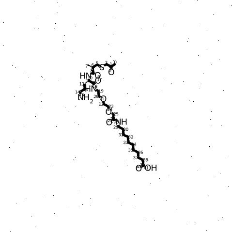 CC(=O)CSC[C@H](C)C(=O)N[C@@H](CCCN)C(=O)NCCOCCOCC(=O)NCCCCCCCCCCC(=O)O